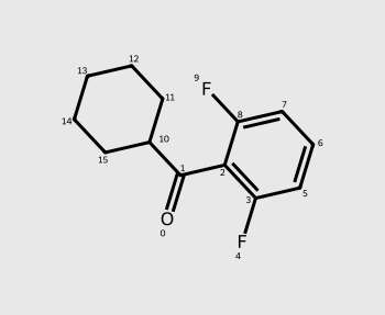 O=C(c1c(F)cccc1F)C1CCCCC1